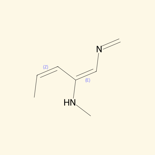 C=N/C=C(\C=C/C)NC